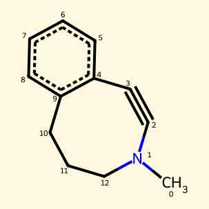 CN1C#Cc2ccccc2CCC1